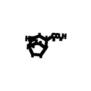 O=C(O)C1CNN2CCC1CC2